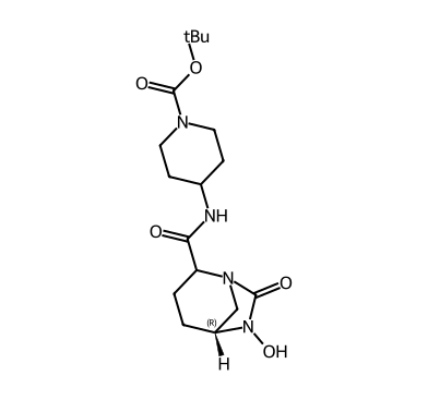 CC(C)(C)OC(=O)N1CCC(NC(=O)C2CC[C@@H]3CN2C(=O)N3O)CC1